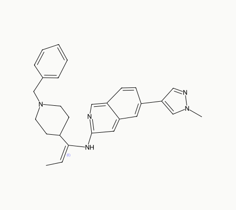 C/C=C(/Nc1cc2cc(-c3cnn(C)c3)ccc2cn1)C1CCN(Cc2ccccc2)CC1